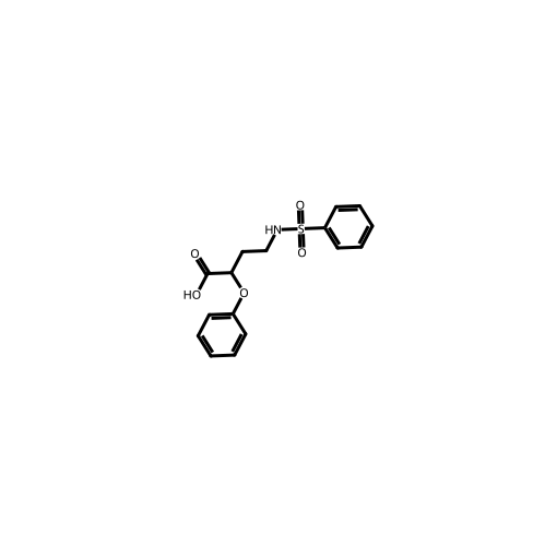 O=C(O)C(CCNS(=O)(=O)c1ccccc1)Oc1ccccc1